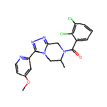 COc1ccnc(-c2nnc3n2CC(C)N(C(=O)c2cccc(Cl)c2Cl)C3)c1